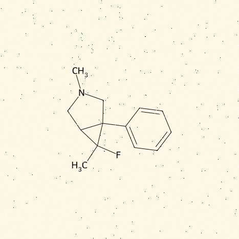 CN1CC2C(C)(F)C2(c2ccccc2)C1